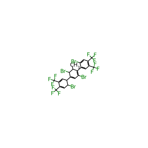 CC1C(c2cc(C(F)(F)F)c(C(F)(F)F)cc2Br)=C(Br)C=C(C2C=C(C(F)(F)F)C(C(F)(F)F)=CC2Br)C1Br